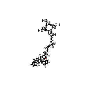 COc1cccc(OC)c1-c1cc(C(=O)NC2(C(=O)O)CCC3CC(C)CC2C3)nn1-c1ccc(C(=O)N(C)CCCN(C)CCCN(C)C(=O)CCCCCNC(=O)CN2CCN(CC(=O)O)CCN(CC(=O)O)CCN(CC(=O)O)CC2)cc1C(C)C